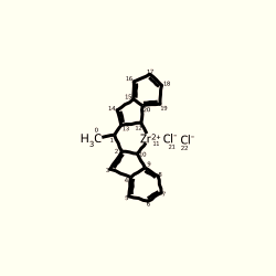 CC1C2=Cc3ccccc3[CH]2[Zr+2][CH]2C1=Cc1ccccc12.[Cl-].[Cl-]